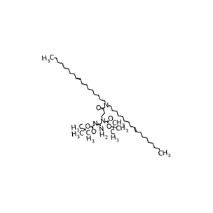 CCCCCCCCC=CCCCCCCCCN(CCCCCCCCC=CCCCCCCCC)C(=O)CCN(C(=O)OC(C)(C)C)C(N)=NC(=O)OC(C)(C)C